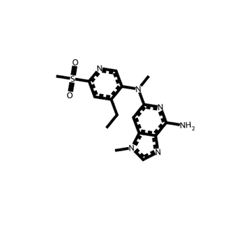 CCc1cc(S(C)(=O)=O)ncc1N(C)c1cc2c(ncn2C)c(N)n1